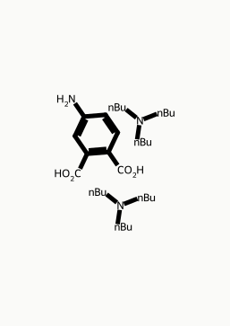 CCCCN(CCCC)CCCC.CCCCN(CCCC)CCCC.Nc1ccc(C(=O)O)c(C(=O)O)c1